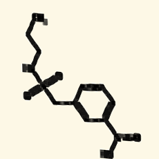 CCCNS(=O)(=O)Cc1cccc([N+](=O)O)c1